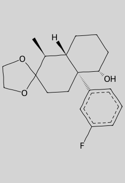 C[C@H]1[C@@H]2CCC[C@H](O)[C@@]2(c2cccc(F)c2)CCC12OCCO2